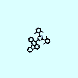 Cc1cccc(C)c1-c1nc(-c2c(C)cccc2C)nc(-c2c3ccccc3c3c4c(cccc24)C2C=CC=CC32)n1